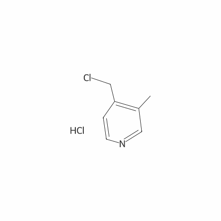 Cc1cnccc1CCl.Cl